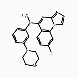 CN(c1cccc(N2CCNCC2)c1)c1nc2nncn2c2cc(Cl)ccc12